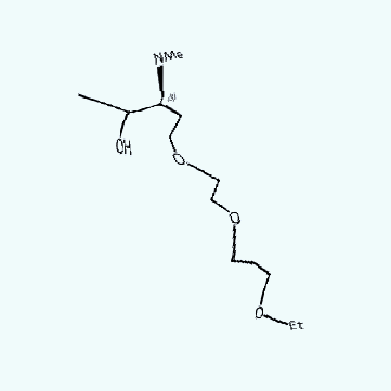 CCOCCOCCOC[C@H](NC)C(C)O